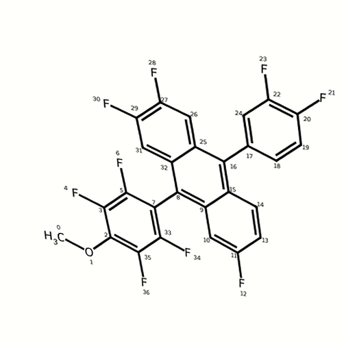 COc1c(F)c(F)c(-c2c3cc(F)ccc3c(-c3ccc(F)c(F)c3)c3cc(F)c(F)cc23)c(F)c1F